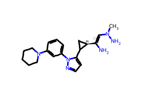 CN(N)/C=C(\N)[C@@H]1CC1c1ccnn1-c1cccc(N2CCCCC2)c1